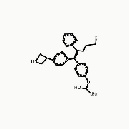 CC(C)(C)C(O)Oc1ccc(/C(=C(\CCCF)c2ccccc2)c2ccc(C3CNC3)cc2)cc1